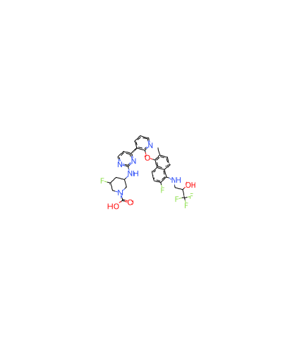 Cc1ccc2c(NCC(O)C(F)(F)F)c(F)ccc2c1Oc1ncccc1-c1ccnc(NC2CC(F)CN(C(=O)O)C2)n1